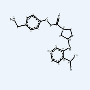 O=C(COc1ccc(CO)cc1)N1CCC(Oc2nnccc2C(F)F)C1